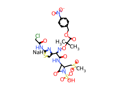 CC(C)(O/N=C(\C(=O)NC1C(=O)N(S(=O)(=O)O)C1CS(C)(=O)=O)c1csc(NC(=O)CCl)n1)C(=O)OCc1ccc([N+](=O)[O-])cc1.[NaH]